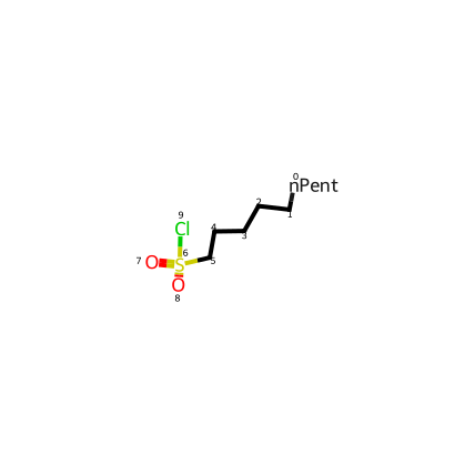 CCCCCCCCCCS(=O)(=O)Cl